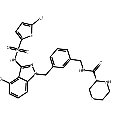 O=C(NCc1cccc(Cn2nc(NS(=O)(=O)c3ccc(Cl)s3)c3c(O)cccc32)c1)[C@@H]1COCCN1